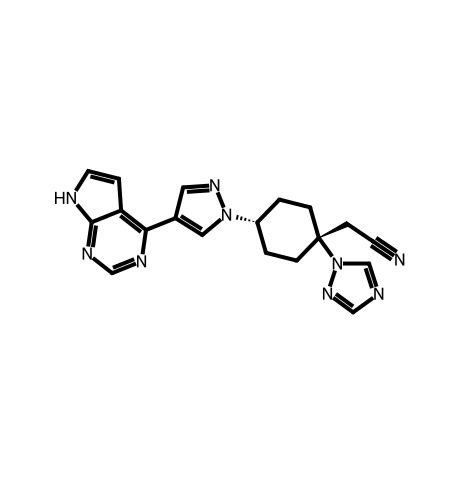 N#CC[C@]1(n2cncn2)CC[C@@H](n2cc(-c3ncnc4[nH]ccc34)cn2)CC1